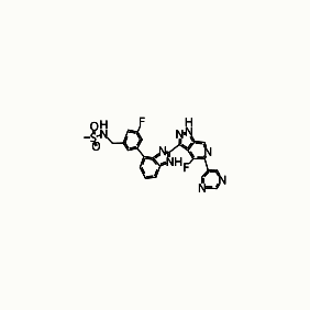 CS(=O)(=O)NCc1cc(F)cc(-c2cccc3[nH]c(-c4n[nH]c5cnc(-c6cncnc6)c(F)c45)nc23)c1